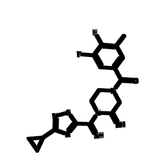 Cc1cc(C(=O)N2CCN(C(=N)c3nc(C4CC4)ns3)C(=N)C2)cc(F)c1F